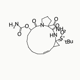 CC(C)(C)[S@@+]([O-])C12CC1C=CCCCCCC(OC(N)=O)C(=O)N1CCCC1(C(N)=O)C(=O)N2